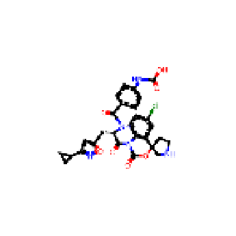 O=C(O)Nc1ccc(C(=O)N[C@@H](Cc2cc(C3CC3)no2)C(=O)N2C(=O)OC3(CCNC3)c3cc(Cl)ccc32)cc1